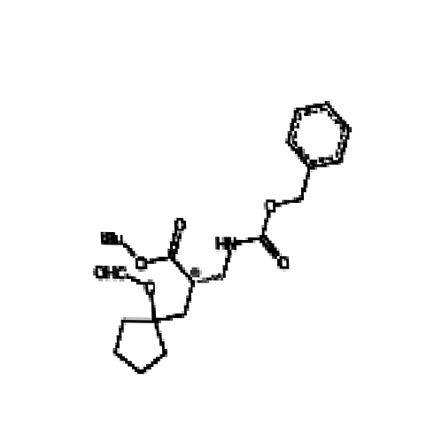 CC(C)(C)OC(=O)[C@H](CNC(=O)OCc1ccccc1)CC1(OC=O)CCCC1